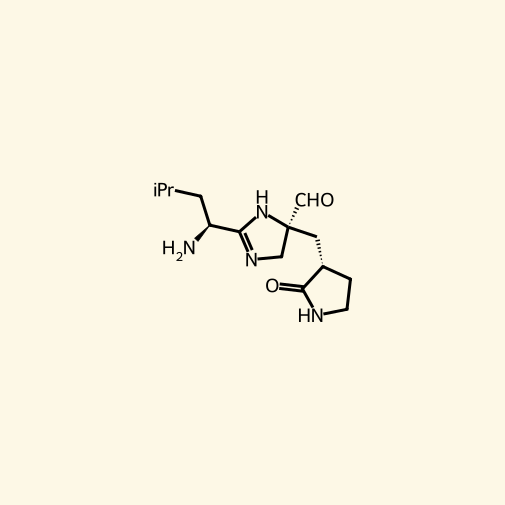 CC(C)C[C@H](N)C1=NC[C@](C=O)(C[C@@H]2CCNC2=O)N1